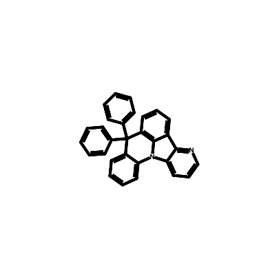 c1ccc(C2(c3ccccc3)c3ccccc3-n3c4cccnc4c4cccc2c43)cc1